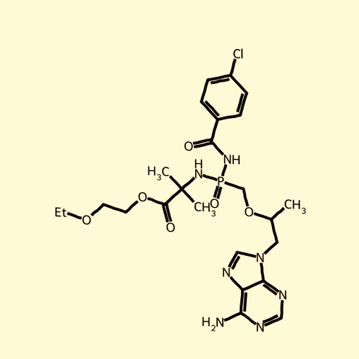 CCOCCOC(=O)C(C)(C)NP(=O)(COC(C)Cn1cnc2c(N)ncnc21)NC(=O)c1ccc(Cl)cc1